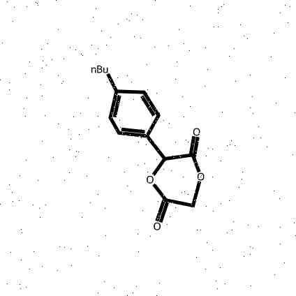 CCCCc1ccc(C2OC(=O)COC2=O)cc1